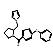 O=C(c1ccc(Sc2ccncc2)cc1)N1CCCC1Cn1cccc1